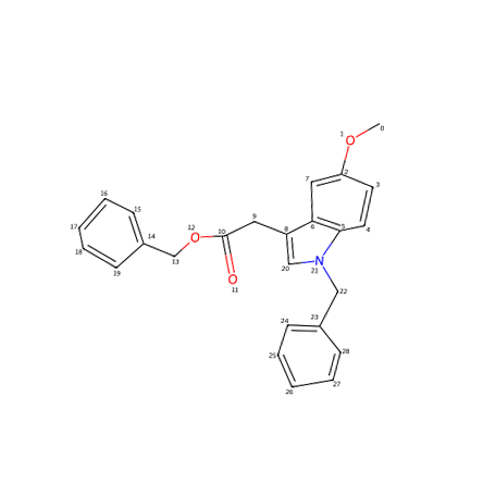 COc1ccc2c(c1)c(CC(=O)OCc1ccccc1)cn2Cc1ccccc1